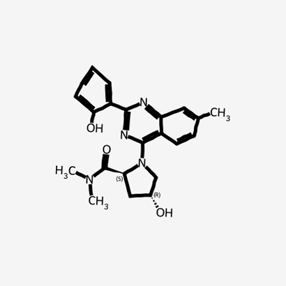 Cc1ccc2c(N3C[C@H](O)C[C@H]3C(=O)N(C)C)nc(-c3ccccc3O)nc2c1